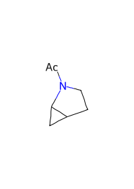 CC(=O)N1CCC2CC21